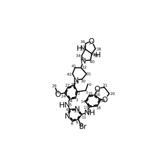 CCc1cc(Nc2ncc(Br)c(Nc3ccc4c(c3)OCCO4)n2)c(OC)cc1N1CCC(N2C[C@H]3COC[C@H]3C2)CC1